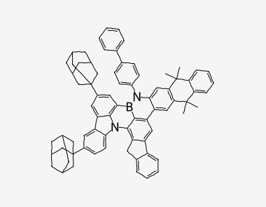 CC1(C)c2ccccc2C(C)(C)c2cc3c(cc21)-c1cc2c(c4c1B(c1cc(C56CC7CC(CC(C7)C5)C6)cc5c6cc(C78CC9CC(CC(C9)C7)C8)ccc6n-4c15)N3c1ccc(-c3ccccc3)cc1)Cc1ccccc1-2